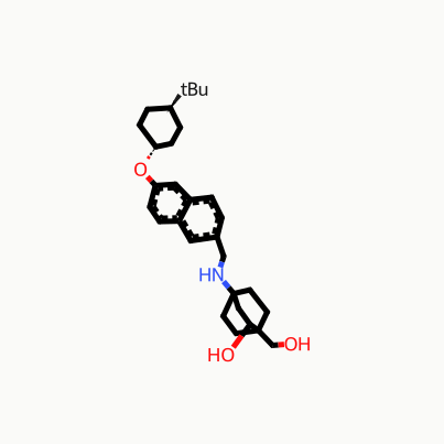 CC(C)(C)[C@H]1CC[C@H](Oc2ccc3cc(CNC45CCC(CO)(CC4)C(O)C5)ccc3c2)CC1